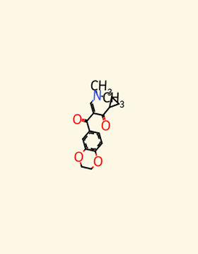 CN(C)C=C(C(=O)c1ccc2c(c1)OCCO2)C(=O)C1CC1